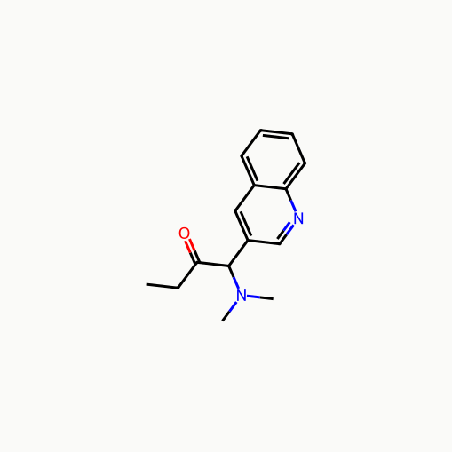 CCC(=O)C(c1cnc2ccccc2c1)N(C)C